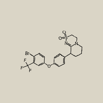 O=S1(=O)CCN2CCCC(c3ccc(Oc4ccc(Br)c(C(F)(F)F)c4)cc3)C2=N1